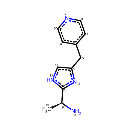 N[C@H](c1nc(Cc2ccncc2)c[nH]1)C(F)(F)F